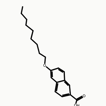 CCCCCCCCCOc1ccc2cc(C(=O)O)ccc2c1